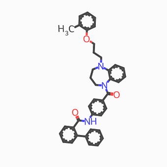 Cc1ccccc1OCCCN1CCCN(C(=O)c2ccc(NC(=O)c3ccccc3-c3ccccc3)cc2)c2ccccc21